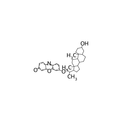 CC(COc1ccc2nc3ccc(=O)cc-3oc2c1)C1CCC2C3CCC4CC(O)CCC4(C)C3CCC12C